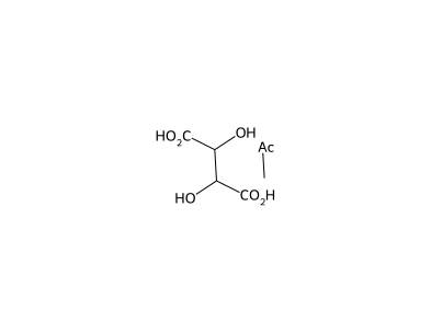 CC(C)=O.O=C(O)C(O)C(O)C(=O)O